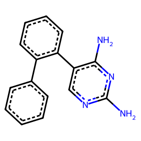 Nc1ncc(-c2ccccc2-c2ccccc2)c(N)n1